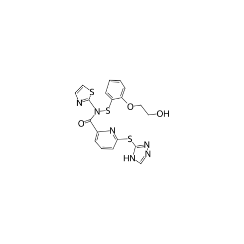 O=C(c1cccc(Sc2nnc[nH]2)n1)N(Sc1ccccc1OCCO)c1nccs1